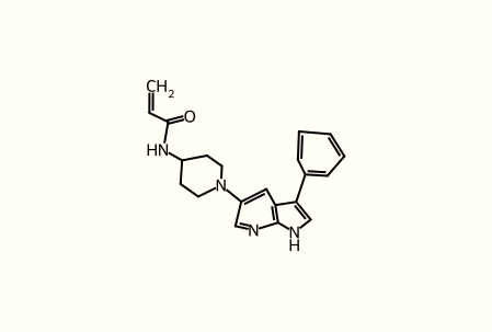 C=CC(=O)NC1CCN(c2cnc3[nH]cc(-c4ccccc4)c3c2)CC1